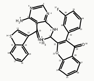 CC(Nc1ncnc(N)c1C(=N)c1csc2ccccc12)c1oc2ccccc2c(=O)c1-c1cccc(F)c1